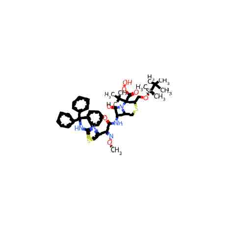 CON=C(C(=O)NC1C(=O)N2C1CSC(CO[Si](C)(C)C(C)(C)C)C2(C(=O)OO)C(C)(C)C)c1csc(NC(c2ccccc2)(c2ccccc2)c2ccccc2)n1